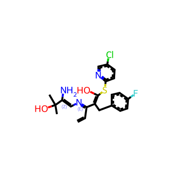 C=C/C(=N\C=C(/N)C(C)(C)O)C(Cc1ccc(F)cc1)=C(O)Sc1ccc(Cl)cn1